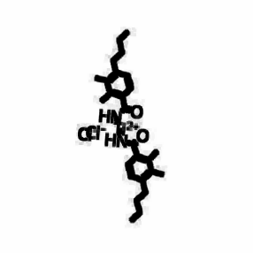 CCCCc1ccc(C(=O)[NH][Ti+2][NH]C(=O)c2ccc(CCCC)c(C)c2C)c(C)c1C.[Cl-].[Cl-]